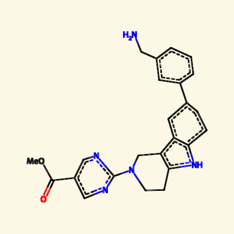 COC(=O)c1cnc(N2CCc3[nH]c4ccc(-c5cccc(CN)c5)cc4c3C2)nc1